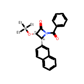 CC[Si](CC)(CC)O[C@@H]1C(=O)N(C(=O)c2ccccc2)[C@@H]1c1ccc2ccccc2c1